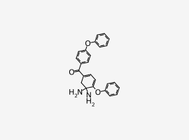 NC1(N)CC(C(=O)c2ccc(Oc3ccccc3)cc2)=CC=C1Oc1ccccc1